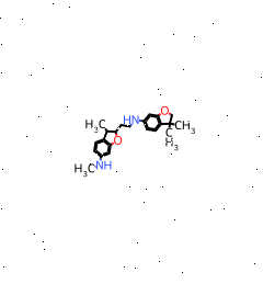 CNc1ccc2c(c1)OC(CCNc1ccc3c(c1)OCC3(C)C)C2C